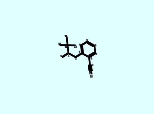 CC(Cc1ccccc1C#N)C(C)(C)C